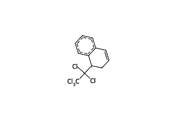 ClC(Cl)(Cl)C(Cl)(Cl)[C]1CC=Cc2ccccc21